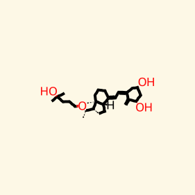 C=C1C(=CC=C2CCC[C@]3(C)[C@@H]([C@H](C)OCCCC(C)(C)O)CC[C@@H]23)C[C@@H](O)C[C@@H]1O